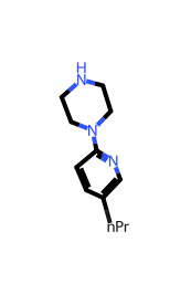 CCCc1ccc(N2CCNCC2)nc1